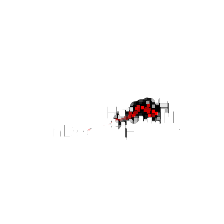 CCCCCCCCCCCCCCCCCCCCCC=CC(=O)SCCNC(=O)CCNC(=O)[C@H](O)C(C)(C)COP(=O)(O)OP(=O)(O)OC[C@H]1O[C@@H](n2cnc3c(N)ncnc32)[C@H](O)[C@@H]1OP(=O)(O)O